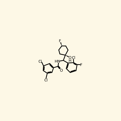 O=C(NC(c1cccc(F)c1Cl)[C@]1(O)CC[C@@H](F)CC1)c1cc(Cl)cc(Cl)c1